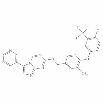 Cc1cc(COc2ccn3c(-c4cncnc4)cnc3n2)ccc1Oc1ccc(Cl)c(C(F)(F)F)c1